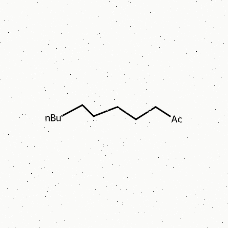 CCCCCCCCCC(C)=O